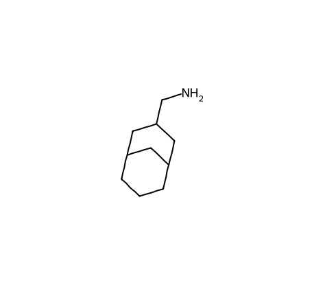 NCC1CC2CCCC(C1)C2